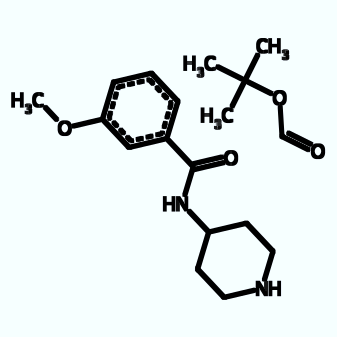 CC(C)(C)OC=O.COc1cccc(C(=O)NC2CCNCC2)c1